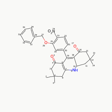 CC1(C)CC(=O)C2=C(C1)NC1CC(C)(C)CC(=O)C1=C2c1ccc([N+](=O)[O-])c(OCc2ccccc2)c1